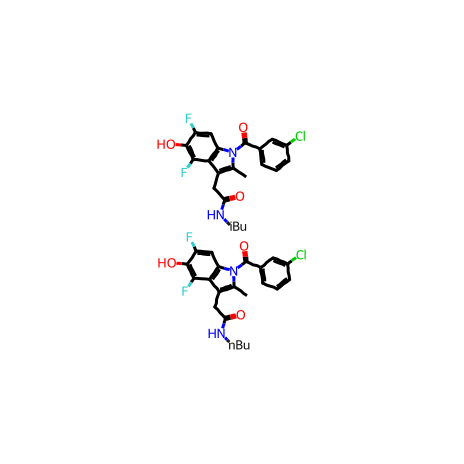 CCC(C)NC(=O)Cc1c(C)n(C(=O)c2cccc(Cl)c2)c2cc(F)c(O)c(F)c12.CCCCNC(=O)Cc1c(C)n(C(=O)c2cccc(Cl)c2)c2cc(F)c(O)c(F)c12